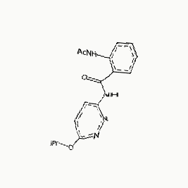 CC(=O)Nc1ccccc1C(=O)Nc1ccc(OC(C)C)nn1